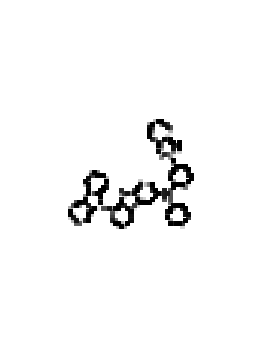 c1ccc(N(c2cccc(C3N=c4ccccc4=N3)c2)c2ccc3sc4c(-n5c6ccccc6c6ccccc65)cccc4c3c2)cc1